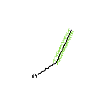 CC(C)CCCCCCCCCCC(F)(F)C(F)(F)C(F)(F)C(F)(F)C(F)(F)C(F)(F)C(F)(F)C(F)(F)C(F)(F)C(F)(F)C(F)(F)C(F)(F)C(F)(F)C(C)(F)F